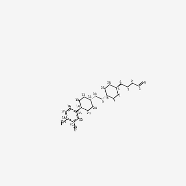 C=CCCC[C@H]1CC[C@H](CC[C@H]2CC[C@H](c3ccc(F)c(F)c3)CC2)CC1